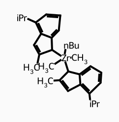 CCC[CH2][Zr]([CH3])([CH3])([CH]1C(C)=Cc2c(C(C)C)cccc21)[CH]1C(C)=Cc2c(C(C)C)cccc21